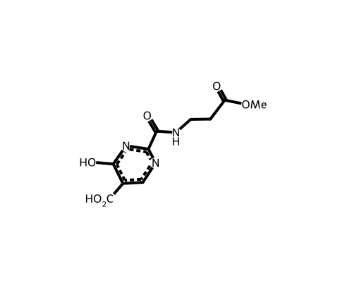 COC(=O)CCNC(=O)c1ncc(C(=O)O)c(O)n1